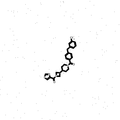 O=C(c1ccc(Cc2cccc(C(F)(F)F)c2)cc1)N1CCC(C2CN(C(=O)c3cscn3)C2)CC1